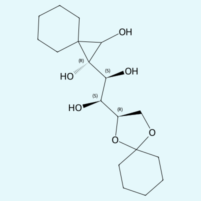 OC1C2(CCCCC2)[C@]1(O)[C@@H](O)[C@H](O)[C@H]1COC2(CCCCC2)O1